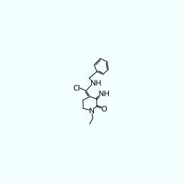 CCN1CC/C(=C(\Cl)NCc2ccccc2)C(=N)C1=O